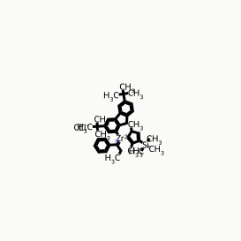 CC/[C](c1ccccc1)=[Zr+2](\[C]1=C(C)C([Si](C)(C)C)=CC1C)[c]1cc(C(C)(C)C)cc2c1Cc1ccc(C(C)(C)C)cc1-2.[Cl-].[Cl-]